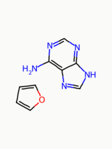 Nc1ncnc2[nH]cnc12.c1ccoc1